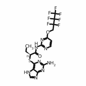 CC[C@H](Sc1nc(N)nc2nc[nH]c12)C(=O)Nc1nccc(OCC(F)(F)C(F)(F)C(F)(F)F)n1